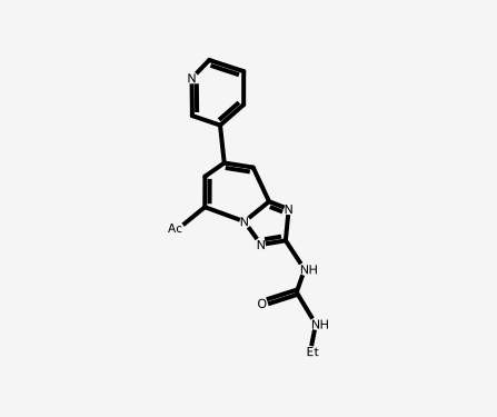 CCNC(=O)Nc1nc2cc(-c3cccnc3)cc(C(C)=O)n2n1